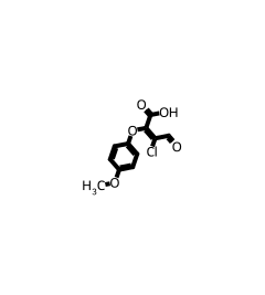 COc1ccc(OC(C(=O)O)=C(Cl)C=O)cc1